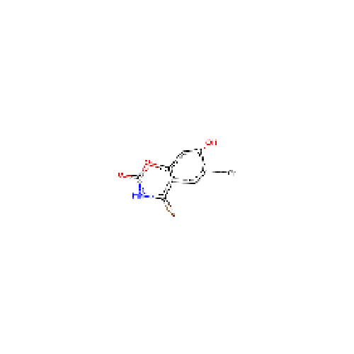 CC(C)c1cc2c(=S)[nH]c(=O)oc2cc1O